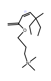 C=C(/C=C\C(C)(CC)CC)OCCC[N+](C)(C)C